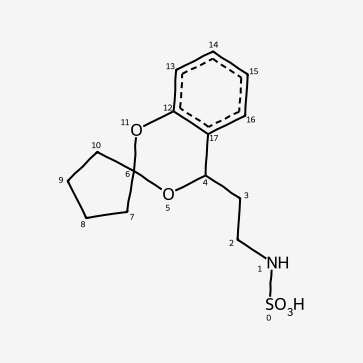 O=S(=O)(O)NCCC1OC2(CCCC2)Oc2ccccc21